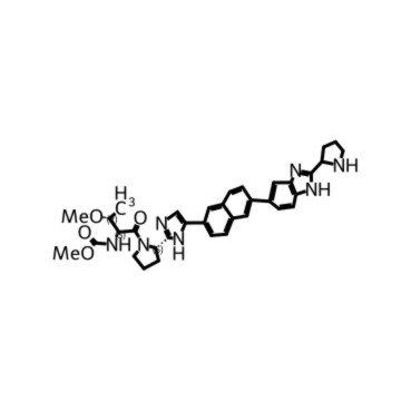 COC(=O)N[C@H](C(=O)N1CCC[C@H]1c1ncc(-c2ccc3cc(-c4ccc5[nH]c(C6CCCN6)nc5c4)ccc3c2)[nH]1)[C@@H](C)OC